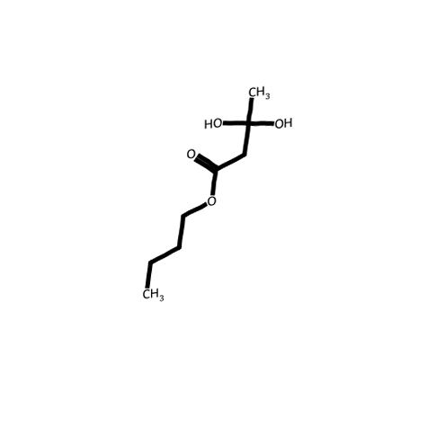 CCCCOC(=O)CC(C)(O)O